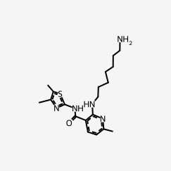 Cc1ccc(C(=O)Nc2nc(C)c(C)s2)c(NCCCCCCCN)n1